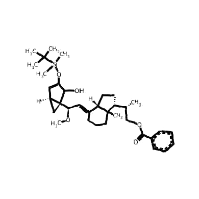 CO[C@H](/C=C1\CCCC2(C)[C@@H]([C@H](C)COC(=O)c3ccccc3)CC[C@@H]12)[C@]12C[C@H]1CC(O[Si](C)(C)C(C)(C)C)C2O